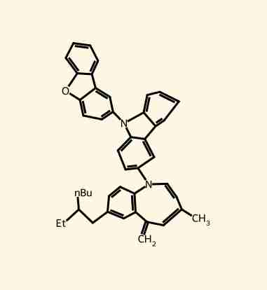 C=C1/C=C(C)\C=C/N(c2ccc3c(c2)c2ccccc2n3-c2ccc3oc4ccccc4c3c2)c2ccc(CC(CC)CCCC)cc21